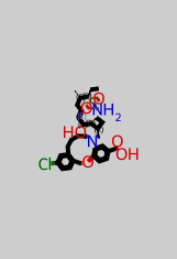 CC[C@H]([C@@H](C)C/C=C/[C@H](O)[C@@H]1CC[C@H]1CN1CCCCc2cc(Cl)ccc2COc2ccc(C(=O)O)cc21)S(N)(=O)=O